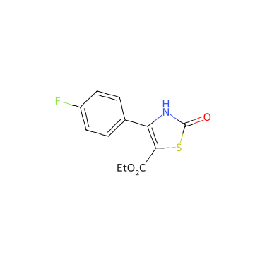 CCOC(=O)c1sc(=O)[nH]c1-c1ccc(F)cc1